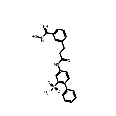 CS(=O)(=O)c1cc(NC(=O)CCc2cccc(C(=N)NO)c2)ccc1-c1ccccc1